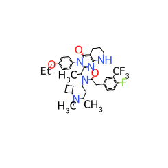 CCOc1ccc(-n2c(C(C)N(CCC(C)N(C)C3CCC3)C(=O)Cc3ccc(F)c(C(F)(F)F)c3)nc3c(c2=O)CCCN3)cc1